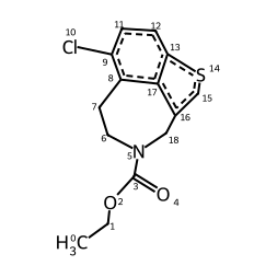 CCOC(=O)N1CCc2c(Cl)ccc3scc(c23)C1